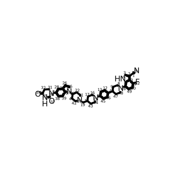 N#Cc1c[nH]c2c(N3CCC(c4ccc(N5CCC(CN6CCC(n7ccc8cc(N9CCC(=O)NC9=O)ccc87)CC6)CC5)cc4)CC3)ccc(F)c12